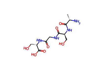 C[C@H](N)C(=O)N[C@@H](CO)C(=O)NCC(=O)N[C@@H](CO)C(=O)O